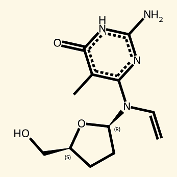 C=CN(c1nc(N)[nH]c(=O)c1C)[C@H]1CC[C@@H](CO)O1